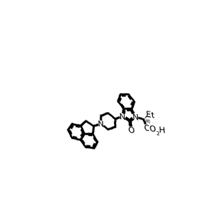 CC[C@H](C(=O)O)n1c(=O)n(C2CCN(C3Cc4cccc5cccc3c45)CC2)c2ccccc21